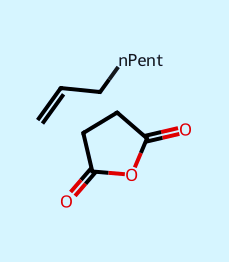 C=CCCCCCC.O=C1CCC(=O)O1